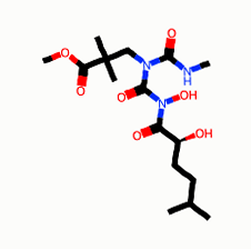 CNC(=O)N(CC(C)(C)C(=O)OC)C(=O)N(O)C(=O)[C@@H](O)CCC(C)C